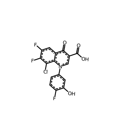 O=C(O)c1cn(-c2ccc(F)c(O)c2)c2c(Cl)c(F)c(F)cc2c1=O